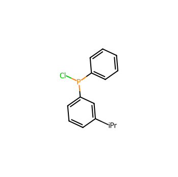 CC(C)c1cccc(P(Cl)c2ccccc2)c1